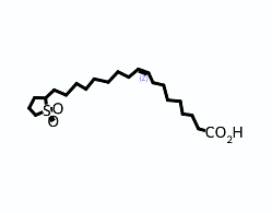 O=C(O)CCCCCCC/C=C\CCCCCCCCC1CCCS1(=O)=O